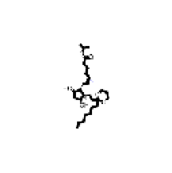 CCCCCCCC1(CC[C@H]2[C@H](O)CC(O)[C@@H]2C/C=C\CCCC(=O)OC(C)C)OCCCO1